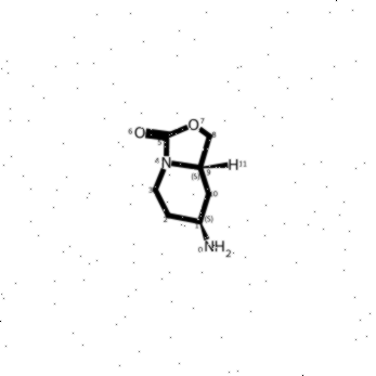 N[C@H]1CCN2C(=O)OC[C@@H]2C1